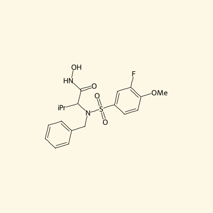 COc1ccc(S(=O)(=O)N(Cc2ccccc2)C(C(=O)NO)C(C)C)cc1F